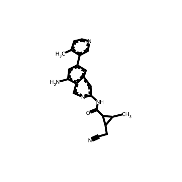 Cc1ccncc1-c1cc(N)c2cnc(NC(=O)C3C(C)C3CC#N)cc2c1